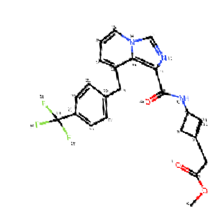 COC(=O)CC12CC(NC(=O)c3ncn4cccc(Cc5ccc(C(F)(F)F)cc5)c34)(C1)C2